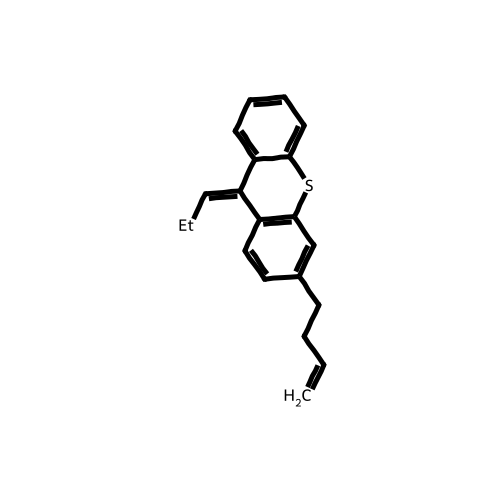 C=CCCc1ccc2c(c1)Sc1ccccc1/C2=C/CC